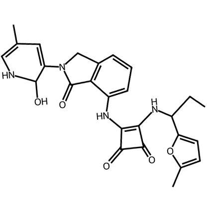 CCC(Nc1c(Nc2cccc3c2C(=O)N(C2=CC(C)=CNC2O)C3)c(=O)c1=O)c1ccc(C)o1